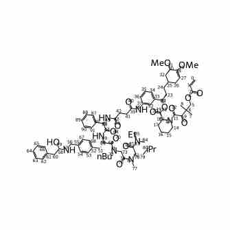 C=CC(=O)OCC(C)(C)C(=O)C(=O)N1CCCC[C@H]1C(=O)O[C@H](CCC1CC=C(OC)C(OC)C1)c1cccc(NC(=O)CCC(=O)N[C@H](C(=O)N[C@@H](Cc2ccc(CNC(O)Cc3ccccc3)cc2)C(=O)N(CCCC)CC(=O)N(C)[C@@H](CC(C)C)C(=O)N(C)CC)c2ccccc2)c1